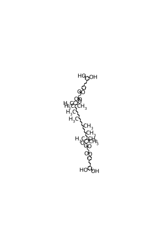 CC1=C(/C=C/C(C)=C/C=C/C(C)=C/C=C/C=C(C)/C=C/C=C(C)/C=C/C2=C(C)C(=O)C(OC(=O)CCC(=O)Oc3ccc(/C=C/c4cc(O)cc(O)c4)cc3)CC2(C)C)C(C)(C)CC(OC(=O)CCC(=O)Oc2ccc(/C=C/c3cc(O)cc(O)c3)cc2)C1=O